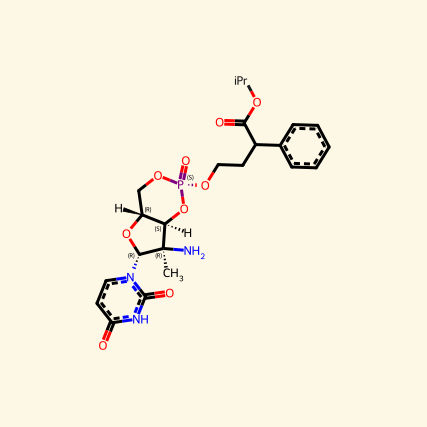 CC(C)OC(=O)C(CCO[P@@]1(=O)OC[C@H]2O[C@@H](n3ccc(=O)[nH]c3=O)[C@](C)(N)[C@@H]2O1)c1ccccc1